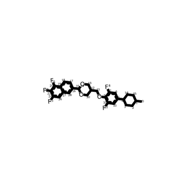 CC1CCC(c2cc(F)c(OCC3COC(c4ccc5c(F)c(F)c(F)cc5c4)OC3)c(F)c2)CC1